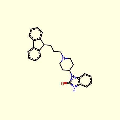 O=c1[nH]c2ccccc2n1C1CCN(CCCC2c3ccccc3-c3ccccc32)CC1